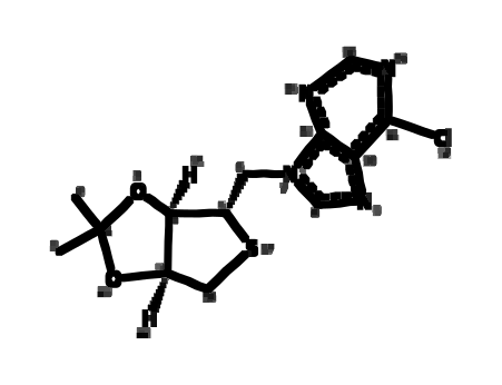 CC1(C)O[C@H]2[C@H](Cn3cnc4c(Cl)ncnc43)SC[C@H]2O1